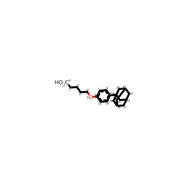 O=C(O)CCCCOc1ccc(C23CC4CC(CC(C4)C2)C3)cc1